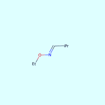 CCON=CC(C)C